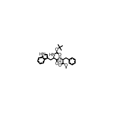 COC(=O)C(Cc1ccccc1)NC(=O)C(Cc1c[nH]c2ccccc12)NC(=O)OC(C)(C)C